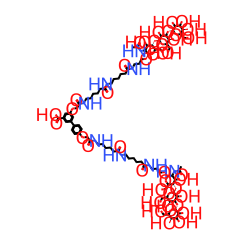 CC(=O)NC1C(O)[C@H](O[C@@H]2OC(CO)[C@H](O)C(O[C@H]3OC(CO)[C@H](O)C(O)C3O)C2O)C(CO)O[C@H]1OCCCNC(=O)CCCCCNC(=O)CCCCCNC(=O)COc1ccc(-c2cc(OCC(=O)NCCCCCC(=O)NCCCCCC(=O)NCCCO[C@@H]3OC(CO)[C@@H](O[C@@H]4OC(CO)[C@H](O)C(O[C@H]5OC(CO)[C@H](O)C(O)C5O)C4O)C(O)C3NC(C)=O)cc(C(=O)O)c2)cc1